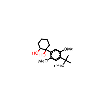 CCCCCCC(C)(C)c1cc(OC)c(C2(O)CCCCC2O)cc1OC